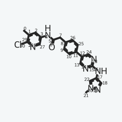 Cc1cc(NC(=O)Cc2ccc(-c3cnc(Nc4cnn(C)c4)nc3)cc2)cnc1Cl